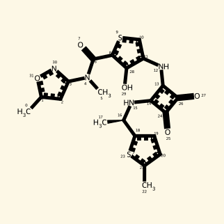 Cc1cc(N(C)C(=O)c2scc(Nc3c(N[C@H](C)c4ccc(C)s4)c(=O)c3=O)c2O)no1